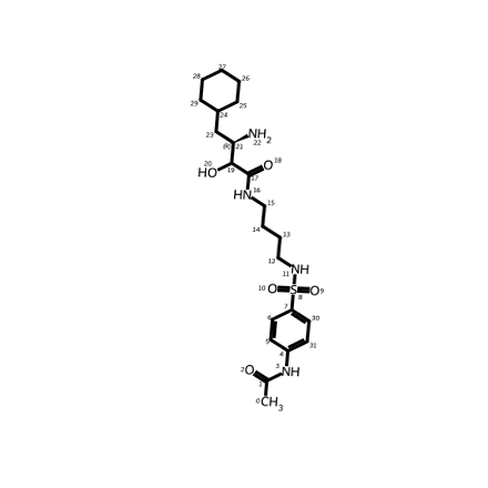 CC(=O)Nc1ccc(S(=O)(=O)NCCCCNC(=O)C(O)[C@H](N)CC2CCCCC2)cc1